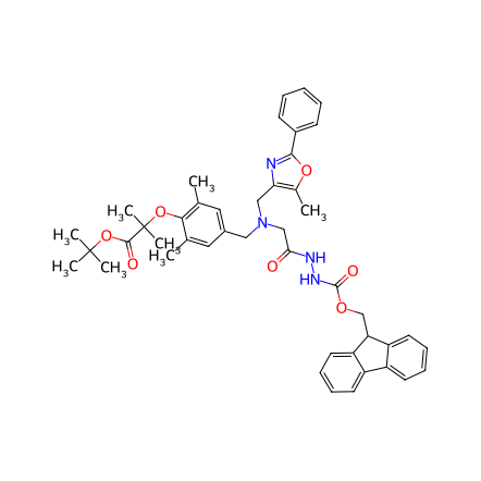 Cc1cc(CN(CC(=O)NNC(=O)OCC2c3ccccc3-c3ccccc32)Cc2nc(-c3ccccc3)oc2C)cc(C)c1OC(C)(C)C(=O)OC(C)(C)C